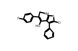 OC1=C(c2ccc(F)cc2)CNc2sc(Cl)c(-c3ccccc3)c21